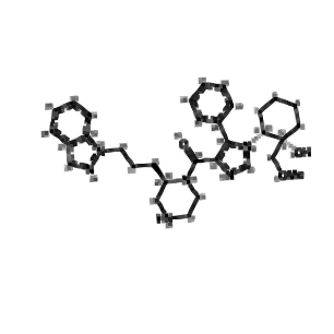 COC[C@]1(O)CCCC[C@H]1n1cnc(C(=O)N2CCNC[C@H]2CCCn2ncc3ccccc32)c1-c1ccccc1